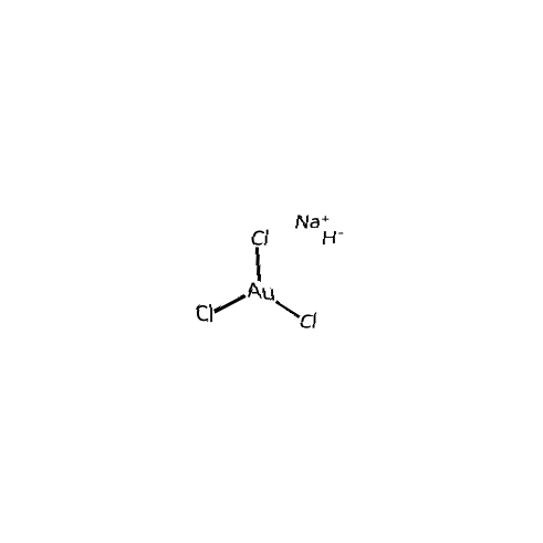 [Cl][Au]([Cl])[Cl].[H-].[Na+]